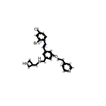 Clc1ccc(/C=C/c2cc(CNCC3CNC3)cc(OCCc3ccncc3)c2)c(Br)c1